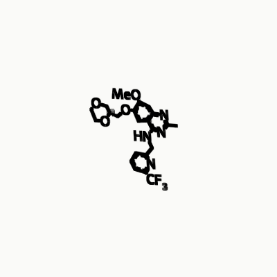 COc1cc2nc(C)nc(NCc3cccc(C(F)(F)F)n3)c2cc1OC[C@@H]1COCCO1